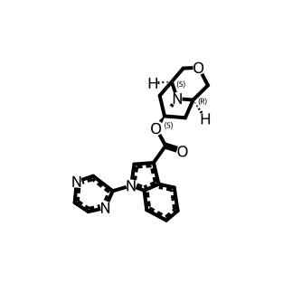 CN1[C@@H]2COC[C@H]1C[C@@H](OC(=O)c1cn(-c3cnccn3)c3ccccc13)C2